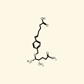 C[C@@H](CCC(N)=O)[C@@H](C)OCc1ccc(/C=C/CCCC(=O)O)cc1